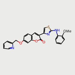 COc1ccccc1Nc1nc(-c2cc3ccc(OCc4ccccn4)cc3oc2=O)cs1